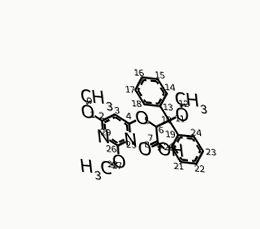 COc1cc(OC(C(=O)O)C(OC)(c2ccccc2)c2ccccc2)nc(OC)n1